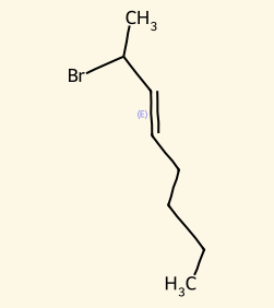 CCCC/C=C/C(C)Br